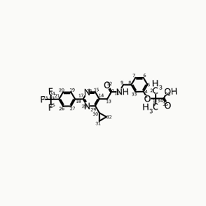 CC(C)(Oc1cccc(CNC(=O)Cc2cnc(-c3ccc(C(F)(F)F)cc3)nc2C2CC2)c1)C(=O)O